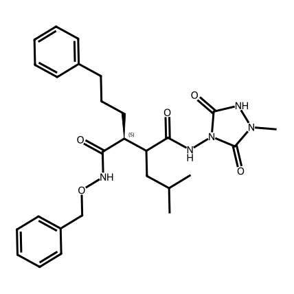 CC(C)CC(C(=O)Nn1c(=O)[nH]n(C)c1=O)[C@H](CCCc1ccccc1)C(=O)NOCc1ccccc1